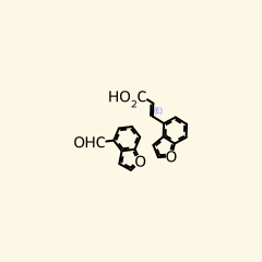 O=C(O)/C=C/c1cccc2occc12.O=Cc1cccc2occc12